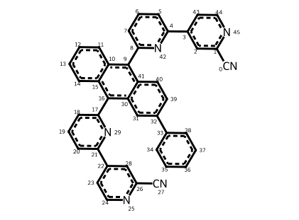 N#Cc1cc(-c2cccc(-c3c4ccccc4c(-c4cccc(-c5ccnc(C#N)c5)n4)c4cc(-c5ccccc5)ccc34)n2)ccn1